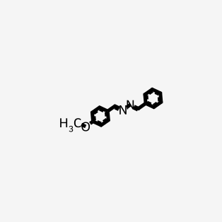 COc1ccc(C=NN=Cc2ccccc2)cc1